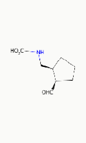 O=C[C@@H]1CCC[C@@H]1CNC(=O)O